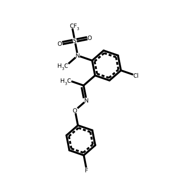 C/C(=N\Oc1ccc(F)cc1)c1cc(Cl)ccc1N(C)S(=O)(=O)C(F)(F)F